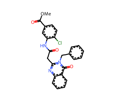 COC(=O)c1ccc(Cl)c(NC(=O)Cc2nc3ccccc3c(=O)n2Cc2ccccc2)c1